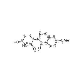 COc1ccc2c(=O)n(C3CCC(=O)NC3=O)ncc2c1